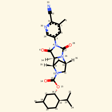 Cc1cc(N2C(=O)[C@@H]3[C@@H]4C[C@@H](CN4C(=O)O[C@H]4CC(C)CC[C@@H]4C(C)C)N3C2=O)cnc1C#N